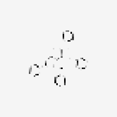 C[C@@H]1O[C@H](Sc2ccccc2)[C@@H](OCc2ccccc2)[C@H](OC(=O)c2ccccc2)[C@@H]1OC(=O)c1ccccc1